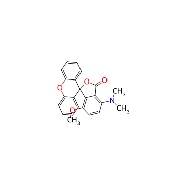 COc1ccc(N(C)C)c2c1C1(OC2=O)c2ccccc2Oc2ccccc21